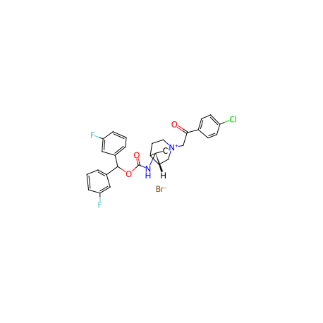 O=C(N[C@H]1C[N+]2(CC(=O)c3ccc(Cl)cc3)CCC1CC2)OC(c1cccc(F)c1)c1cccc(F)c1.[Br-]